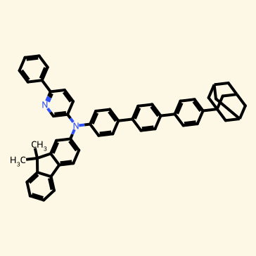 CC1(C)c2ccccc2-c2ccc(N(c3ccc(-c4ccc(-c5ccc(C67CC8CC(CC(C8)C6)C7)cc5)cc4)cc3)c3ccc(-c4ccccc4)nc3)cc21